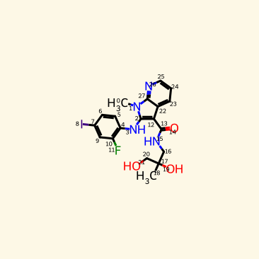 Cn1c(Nc2ccc(I)cc2F)c(C(=O)NCC(C)(O)CO)c2cccnc21